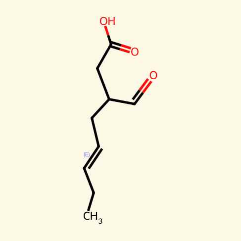 CC/C=C/CC(C=O)CC(=O)O